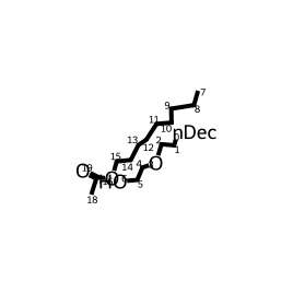 CCCCCCCCCCCCOCCO.CCCCCCCCCOC(C)=O